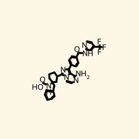 Nc1nccn2c(C3CCCC(Cc4ccccc4)(NC(=O)O)C3)nc(-c3ccc(C(=O)Nc4cc(C(F)(F)F)ccn4)cc3)c12